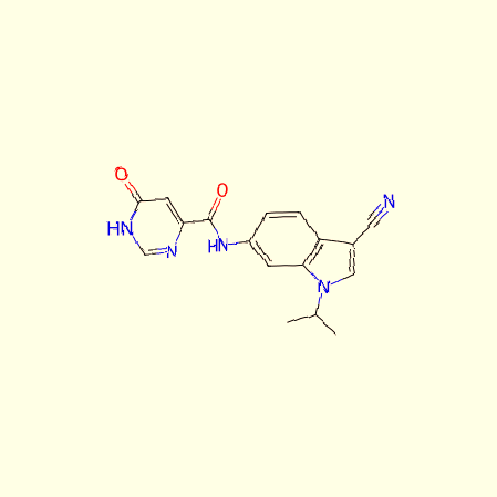 CC(C)n1cc(C#N)c2ccc(NC(=O)c3cc(=O)[nH]cn3)cc21